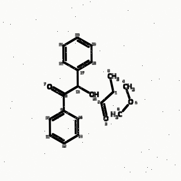 CCC=O.COC.O=C(c1ccccc1)C(O)c1ccccc1